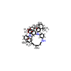 C/C1=C/C(C(C)(C)C)=C\C=C\Nc2cccc(c2)N(c2ccc3c(c2)C(C)(C)CCC3(C)C)c2cc3c(cc2B(N(C2=CC=CCC2)c2ccccc2)c2ccc(C(C)(C)C)cc21)C(C)(C)CCC3(C)C